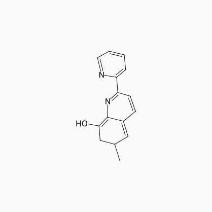 CC1C=c2ccc(-c3ccccn3)nc2=C(O)C1